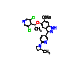 COc1cc2[nH]nc(-c3ccc(N4CC[C@@H]4C)nc3)c2cc1O[C@H](C)c1c(Cl)cncc1Cl